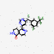 O=C1NCCc2c1ccnc2-c1cc([C@H](F)c2cc(F)cc(C(F)(F)F)c2)ncn1